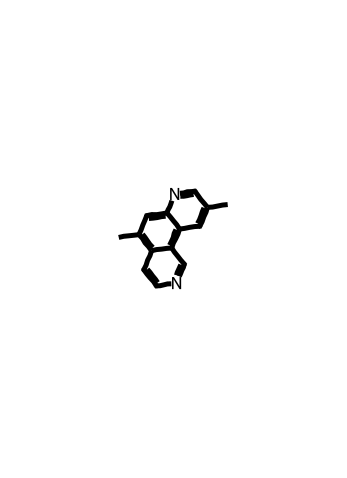 Cc1cnc2cc(C)c3ccncc3c2c1